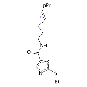 CCC/C=C/CCCNC(=O)c1cnc(SCC)s1